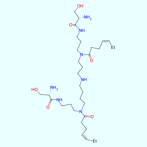 CC/C=C\CCC(=O)N(CCCCNCCCN(CCCNC(=O)[C@@H](N)CO)C(=O)CC/C=C\CC)CCCNC(=O)[C@@H](N)CO